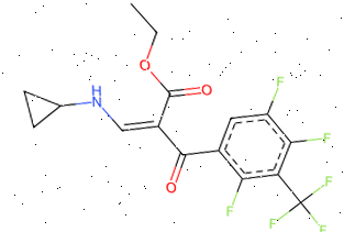 CCOC(=O)C(=CNC1CC1)C(=O)c1cc(F)c(F)c(C(F)(F)F)c1F